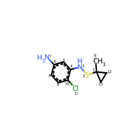 CC1(SNc2cc(N)ccc2Cl)CC1